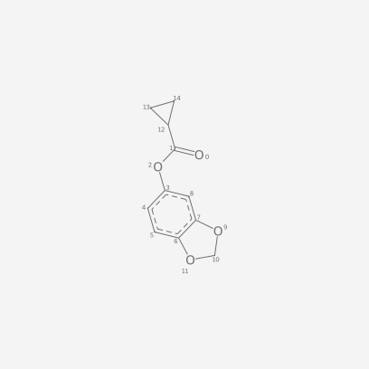 O=C(Oc1ccc2c(c1)OCO2)C1CC1